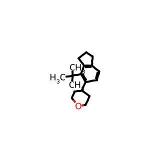 CC(C)(C)c1c(C2CCOCC2)ccc2c1CCC2